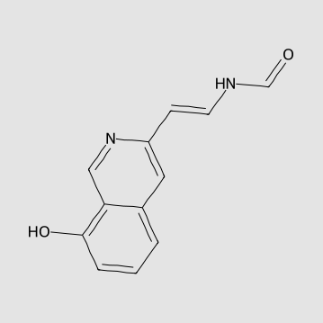 O=CNC=Cc1cc2cccc(O)c2cn1